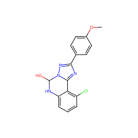 COc1ccc(-c2nc3n(n2)C(O)Nc2cccc(Cl)c2-3)cc1